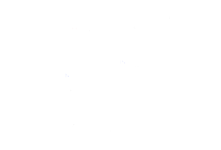 CC(=O)Oc1cccc(C(=O)NCCCCN(Cc2ccccc2OCC(=O)O)C(=O)c2cccc(OC(C)=O)c2OC(C)=O)c1OC(C)=O